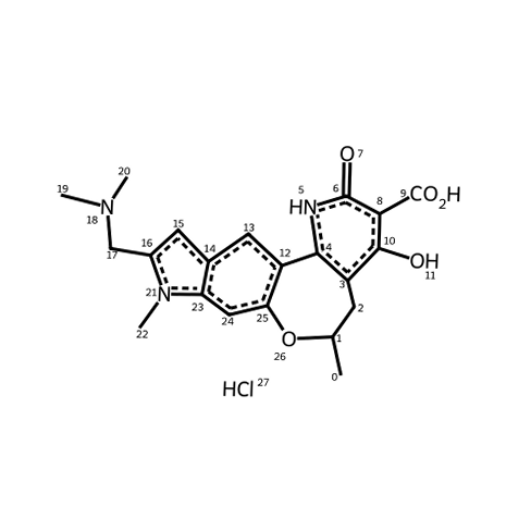 CC1Cc2c([nH]c(=O)c(C(=O)O)c2O)-c2cc3cc(CN(C)C)n(C)c3cc2O1.Cl